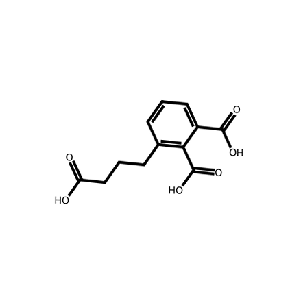 O=C(O)CCCc1cccc(C(=O)O)c1C(=O)O